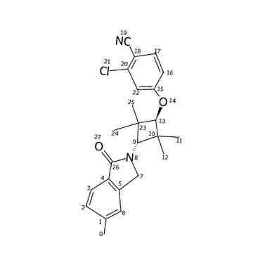 Cc1ccc2c(c1)CN([C@H]1C(C)(C)[C@H](Oc3ccc(C#N)c(Cl)c3)C1(C)C)C2=O